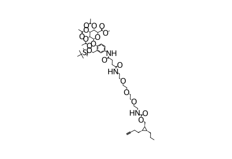 C#CCC[C@@H]1[C@H](CCC)[C@@H]1COC(=O)NCCOCCOCCOCCNC(=O)CCC(=O)Nc1ccc(O[C@@H]2OC(C(=O)OC)[C@@H](OC(C)=O)C(OC(C)=O)C2OC(C)=O)c(CO[Si](C)(C)C(C)(C)C)c1